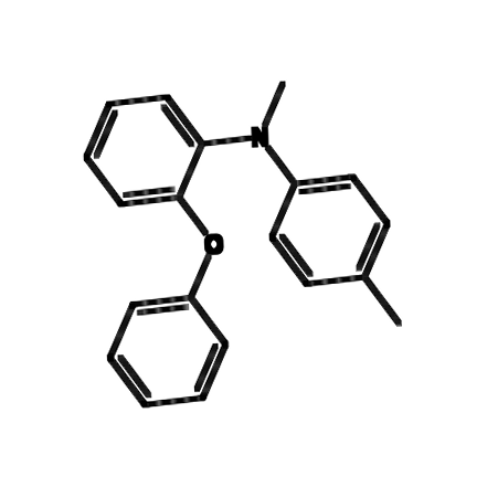 Cc1ccc(N(C)c2ccccc2Oc2ccccc2)cc1